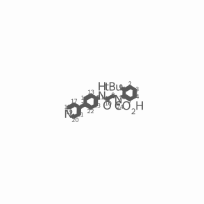 CC(C)(C)c1ccccc1N(CC(=O)Nc1ccc(-c2ccncc2)cc1)C(=O)O